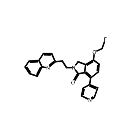 O=C1c2c(-c3ccncc3)ccc(OCF)c2CN1CCc1ccc2ccccc2n1